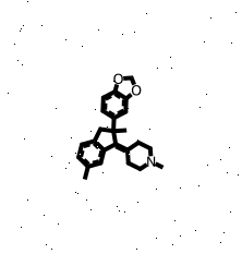 Cc1ccc2c(c1)C(=C1CCN(C)CC1)C(C)(c1ccc3c(c1)OCO3)C2